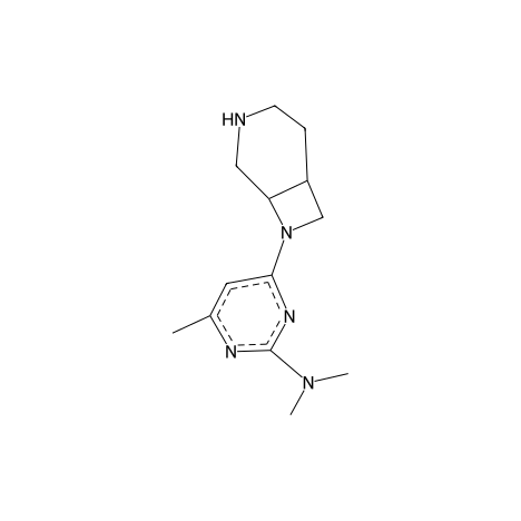 Cc1cc(N2CC3CCNCC32)nc(N(C)C)n1